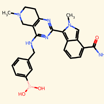 CN1CCc2nc(-c3c4cccc(C(N)=O)c4cn3C)nc(NCc3cccc(B(O)O)c3)c2C1